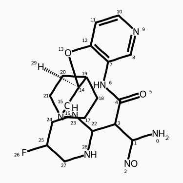 NC(N=O)C(C(=O)Nc1cnccc1O[C@@H]1CN2CCC1CC2)C1NCC(F)CN1